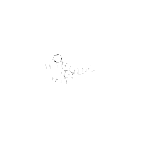 C=CC(=O)N1CCN(c2nc(OC(C)CN(C)C)nc3c2CCN(c2c(C)cccc2O)C3)CC1